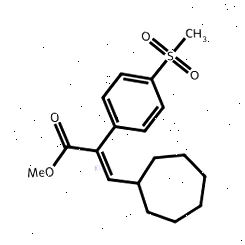 COC(=O)/C(=C/C1CCCCCC1)c1ccc(S(C)(=O)=O)cc1